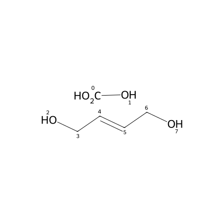 O=C(O)O.OCC=CCO